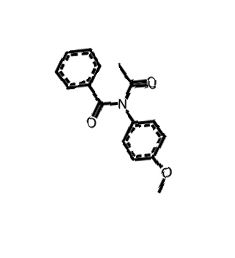 COc1ccc(N(C(C)=O)C(=O)c2ccccc2)cc1